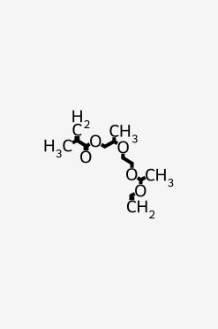 C=COC(C)OCCOC(C)COC(=O)C(=C)C